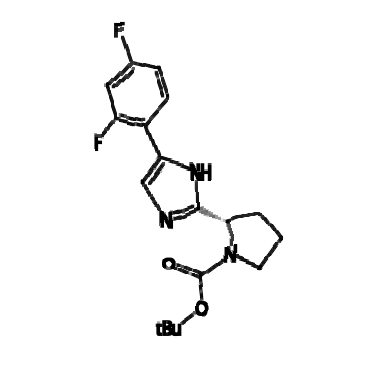 CC(C)(C)OC(=O)N1CCC[C@H]1c1ncc(-c2ccc(F)cc2F)[nH]1